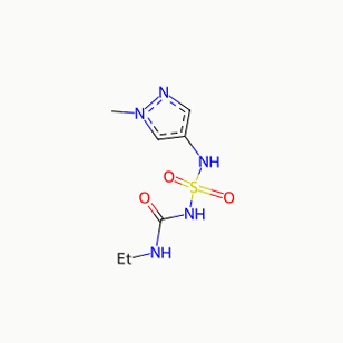 CCNC(=O)NS(=O)(=O)Nc1cnn(C)c1